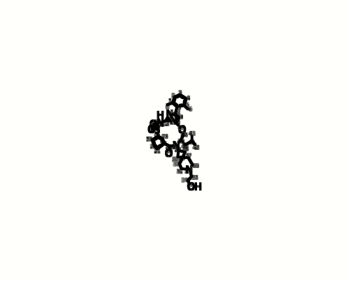 Cc1cccc(C)c1-c1cc2nc(n1)NS(=O)(=O)c1cccc(c1)C(=O)N(C1CC3(CCN(CCO)CC3)C1)[C@H](CC(C)C)CO2